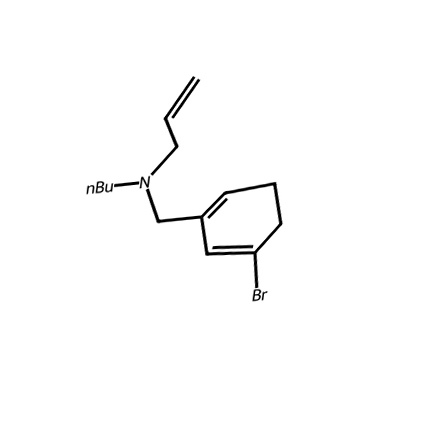 C=CCN(CCCC)CC1=CCCC(Br)=C1